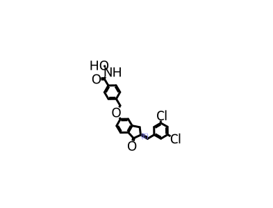 O=C(NO)c1ccc(COc2ccc3c(c2)C/C(=C\c2cc(Cl)cc(Cl)c2)C3=O)cc1